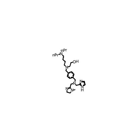 CCCN(CCC)CCCCN(CCO)Cc1ccc(CN(CC2=NCCN2C)Cc2ncc[nH]2)cc1